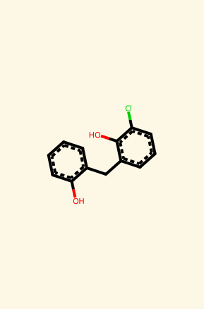 Oc1ccccc1Cc1cccc(Cl)c1O